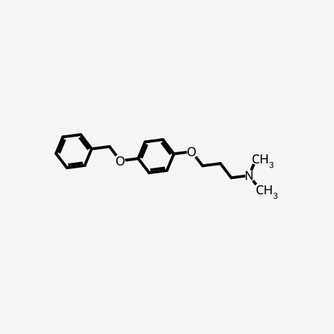 CN(C)CCCOc1ccc(OCc2ccccc2)cc1